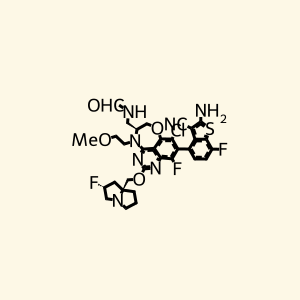 COCCN1c2nc(OC[C@@]34CCCN3C[C@H](F)C4)nc3c(F)c(-c4ccc(F)c5sc(N)c(C#N)c45)c(Cl)c(c23)OC[C@@H]1CNC=O